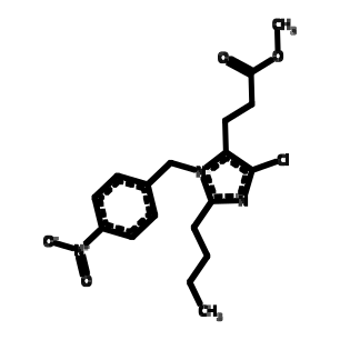 CCCCc1nc(Cl)c(CCC(=O)OC)n1Cc1ccc([N+](=O)[O-])cc1